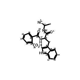 CC(C#N)NC(=O)C(Cc1c[nH]c2ccccc12)NC(=O)c1ccccc1C(=O)O